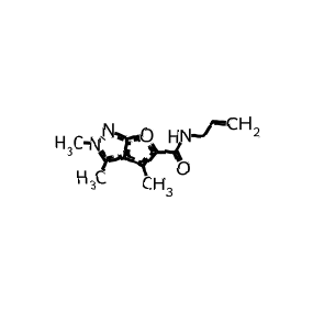 C=CCNC(=O)c1oc2nn(C)c(C)c2c1C